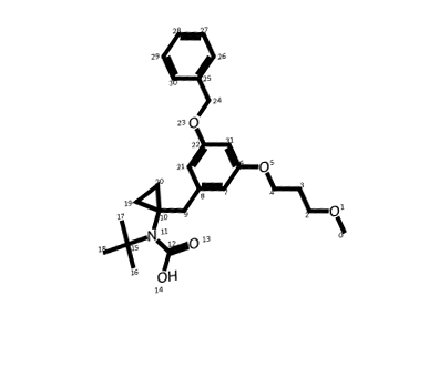 COCCCOc1cc(CC2(N(C(=O)O)C(C)(C)C)CC2)cc(OCc2ccccc2)c1